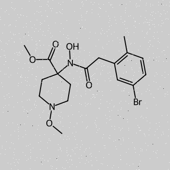 COC(=O)C1(N(O)C(=O)Cc2cc(Br)ccc2C)CCN(OC)CC1